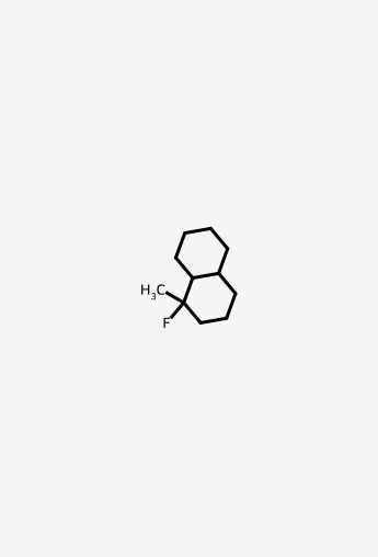 CC1(F)CCCC2CCCCC21